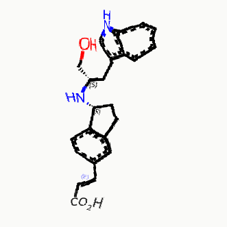 O=C(O)/C=C/c1ccc2c(c1)CC[C@H]2N[C@H](CO)Cc1c[nH]c2ccccc12